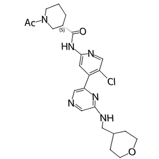 CC(=O)N1CCC[C@H](C(=O)Nc2cc(-c3cncc(NCC4CCOCC4)n3)c(Cl)cn2)C1